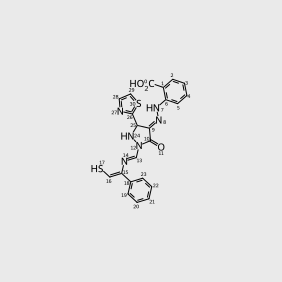 O=C(O)c1ccccc1N/N=C1/C(=O)N(/C=N/C(=C\S)c2ccccc2)NC1c1nccs1